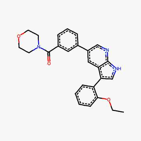 CCOc1ccccc1-c1c[nH]c2ncc(-c3cccc(C(=O)N4CCOCC4)c3)cc12